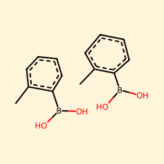 Cc1ccccc1B(O)O.Cc1ccccc1B(O)O